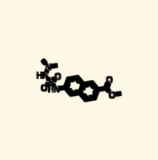 COC(=O)c1ccc2cc(NS(=O)(=O)NN(C)C)ccc2c1